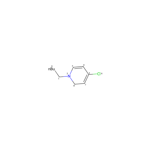 CCCCCN1C=CC(Cl)=CC1